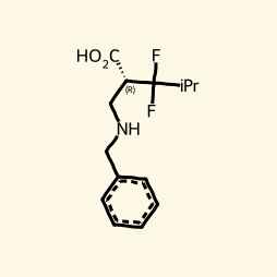 CC(C)C(F)(F)[C@H](CNCc1ccccc1)C(=O)O